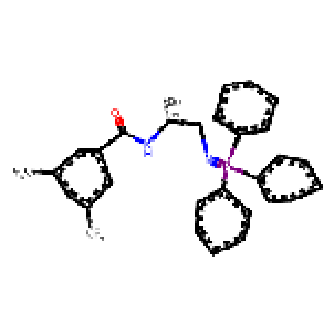 CC(C)(C)[C@H](CN=P(c1ccccc1)(c1ccccc1)c1ccccc1)NC(=O)c1cc(C(F)(F)F)cc(C(F)(F)F)c1